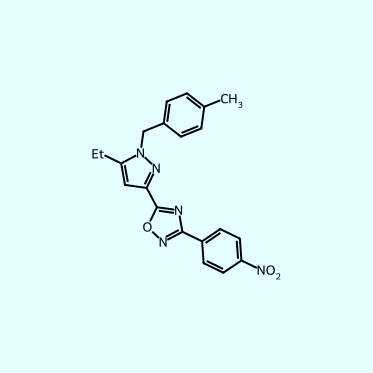 CCc1cc(-c2nc(-c3ccc([N+](=O)[O-])cc3)no2)nn1Cc1ccc(C)cc1